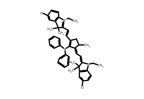 CCN1/C(=C/C=C2C(N(c3ccccc3)c3ccccc3)=C(/C=C/C3=[N+](CC)c4ccc(Cl)cc4C3(C)C)CC/2C)C(C)(C)c2cc(Cl)ccc21